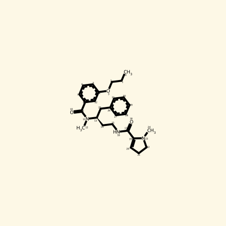 CCCOc1cccc(C(=O)N(C)[C@H](CCNC(=O)C2=CCCN2C)Cc2ccccc2)c1